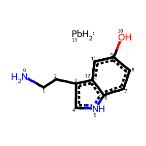 NCCc1c[nH]c2ccc(O)cc12.[PbH2]